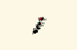 Cc1cc(NC2CCc3cc(F)cc(F)c32)c2cnn([C@@H]3O[C@H](COP(=O)(O)CP(=O)(O)O)[C@@H](O)[C@H]3O)c2n1